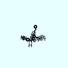 CC(C)[Si](C#Cc1cc(OCCCc2ccccc2)nc2nc(Nc3ccc(N4CCN(C)CC4)cc3)ncc12)(C(C)C)C(C)C